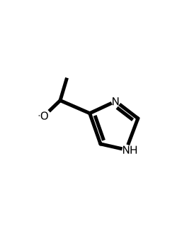 CC([O])c1c[nH]cn1